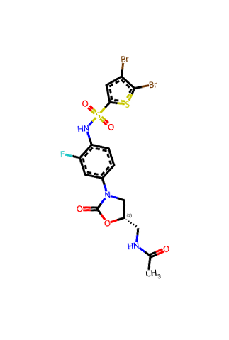 CC(=O)NC[C@H]1CN(c2ccc(NS(=O)(=O)c3cc(Br)c(Br)s3)c(F)c2)C(=O)O1